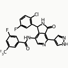 O=C(Nc1cnc(-c2cn[nH]c2)c2c1C(c1cc(F)ccc1Cl)NC2=O)c1cc(F)cc(C(F)(F)F)c1